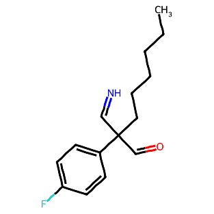 CCCCCCC(C=N)(C=O)c1ccc(F)cc1